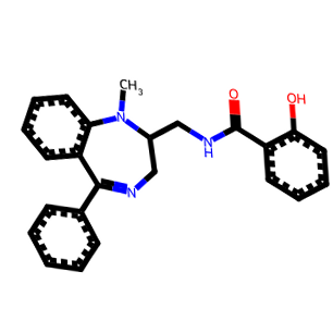 CN1c2ccccc2C(c2ccccc2)=NCC1CNC(=O)c1ccccc1O